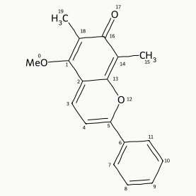 COc1c2ccc(-c3ccccc3)oc-2c(C)c(=O)c1C